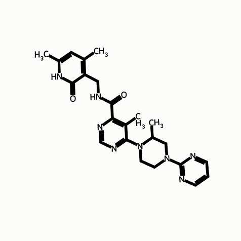 Cc1cc(C)c(CNC(=O)c2ncnc(N3CCN(c4ncccn4)CC3C)c2C)c(=O)[nH]1